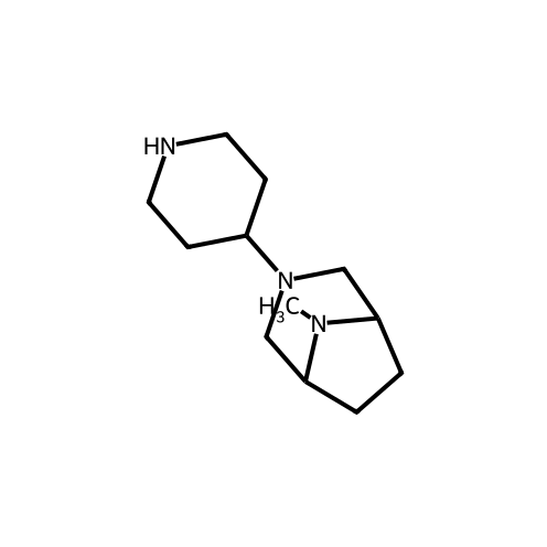 CN1C2CCC1CN(C1CCNCC1)C2